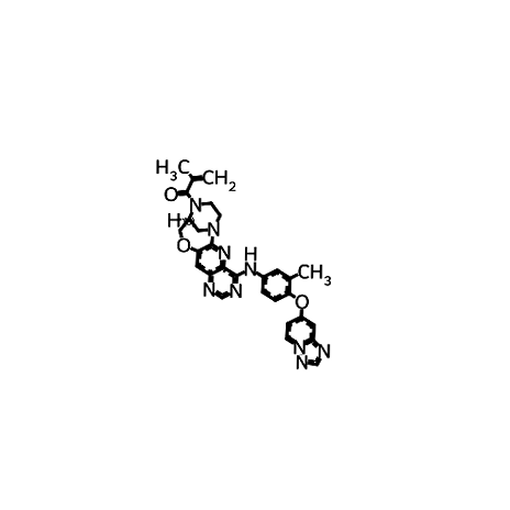 C=C(C)C(=O)N1CCN2C[C@H]1COc1cc3ncnc(Nc4ccc(Oc5ccn6ncnc6c5)c(C)c4)c3nc12